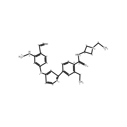 CCc1cc(-c2cc(Oc3ccc(C=N)c(NC)c3)ccn2)ccc1C(=O)NC1CN(CC)C1